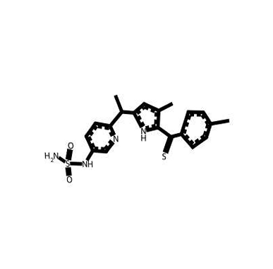 Cc1ccc(C(=S)c2[nH]c(C(C)c3ccc(NS(N)(=O)=O)cn3)cc2C)cc1